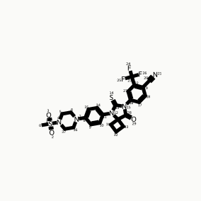 CS(=O)(=O)N1CCN(c2ccc(N3C(=S)N(c4ccc(C#N)c(C(F)(F)F)c4)C(=O)C34CCC4)cc2)CC1